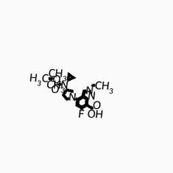 CCn1cc2c(N3CCC(N(C(=O)OC(C)(C)C)C4CC4)C3)cc(F)c(C(=O)O)c2n1